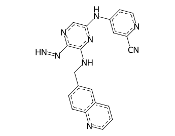 N#Cc1cc(Nc2cnc(N=N)c(NCc3ccc4ncccc4c3)n2)ccn1